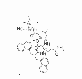 CC[C@H](C)[C@@H](CO)NC(=O)C[C@H](O)[C@H](CC(C)C)NC(=O)[C@H](CCC(N)=O)NC(=O)C(Cc1cccc2ccccc12)Cc1cccc2ccccc12